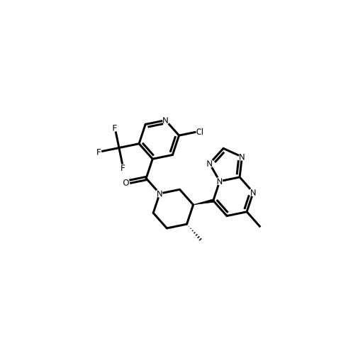 Cc1cc([C@@H]2CN(C(=O)c3cc(Cl)ncc3C(F)(F)F)CC[C@H]2C)n2ncnc2n1